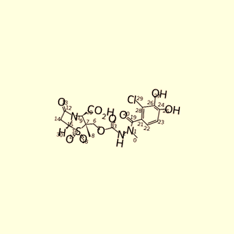 CN(NC(=O)OC[C@@]1(C)[C@H](C(=O)O)N2C(=O)C[C@H]2S1(=O)=O)C(=O)c1ccc(O)c(O)c1Cl